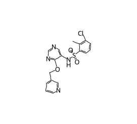 Cc1c(Cl)cccc1S(=O)(=O)Nc1cncnc1OCc1cccnc1